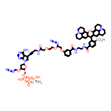 CP(=O)(O)OP(=O)([O-])OP(=O)(O)OC[C@H]1O[C@@H](n2cc(C#CCNC(=O)COCCOC(COc3cccc(C(=O)NCCNC(=O)c4ccc(C(=O)O)c(C5=c6cc7c8c(c6Oc6c5cc5c9c6CCCN9CCC5)CCC[N+]=8CCC7)c4)c3)N=[N+]=[N-])c3c(N)ncnc32)CC1OCN=[N+]=[N-]